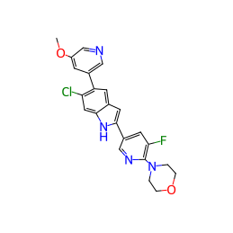 COc1cncc(-c2cc3cc(-c4cnc(N5CCOCC5)c(F)c4)[nH]c3cc2Cl)c1